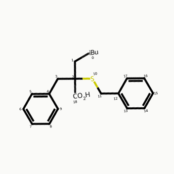 CCC(C)CC(Cc1ccccc1)(SCc1ccccc1)C(=O)O